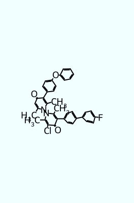 Cc1cc(=O)c(-c2ccc(Oc3ccccc3)cc2)c(C)n1-n1c(C)c(Cl)c(=O)c(-c2ccc(-c3ccc(F)cc3)cc2)c1C